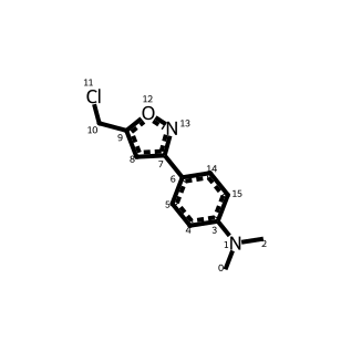 CN(C)c1ccc(-c2cc(CCl)on2)cc1